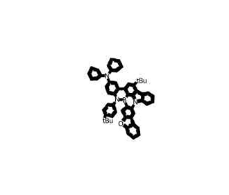 CC(C)(C)c1ccc(N2B3c4cc5oc6ccccc6c5cc4-n4c5ccccc5c5c(C(C)(C)C)cc(c3c54)-c3cc(N(c4ccccc4)c4ccccc4)ccc32)cc1